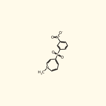 CN1C=CC=C(S(=O)(=O)c2[c]ccc([N+](=O)[O-])c2)C=C1